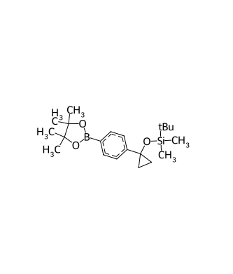 CC1(C)OB(c2ccc(C3(O[Si](C)(C)C(C)(C)C)CC3)cc2)OC1(C)C